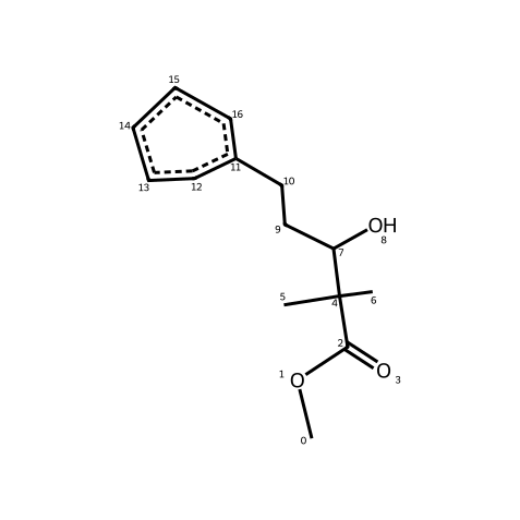 COC(=O)C(C)(C)C(O)CCc1ccccc1